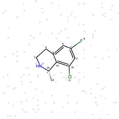 C[C@@H]1NCCc2cc(F)cc(Cl)c21